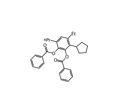 CCCc1cc(CC)c(C2CCCC2)c(OC(=O)c2ccccc2)c1OC(=O)c1ccccc1